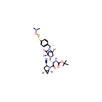 C[C@@H](c1ccc(SOON(C)C)cc1)N1C(=O)[C@@H]2C[C@H]1CN2C[C@H](NC(=O)OC(C)(C)C)C(=O)N1[C@H](C#N)C[C@@H]2C[C@@H]21